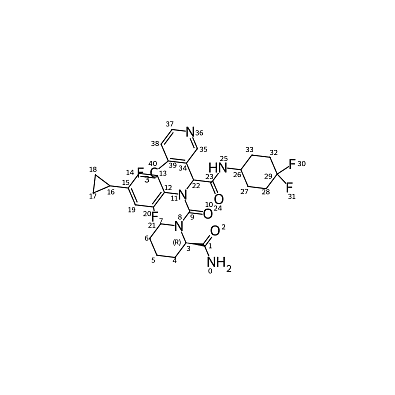 NC(=O)[C@H]1CCCCN1C(=O)N(c1ccc(C2CC2)cc1F)C(C(=O)NC1CCC(F)(F)CC1)c1cnccc1C(F)(F)F